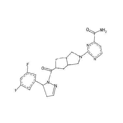 NC(=O)c1ccnc(N2CC3CC(C(=O)N4N=CCC4c4cc(F)cc(F)c4)CC3C2)n1